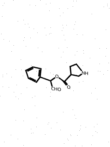 O=CC(OC(=O)C1CCNC1)c1ccccc1